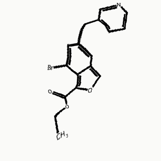 CCOC(=O)c1occ2cc(Cc3cccnc3)cc(Br)c12